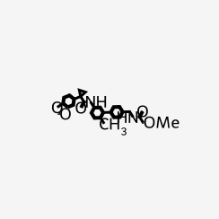 COCC(=O)NCc1ccc(-c2cc(NC(=O)C3(c4ccc5c(c4)OCO5)CC3)ccc2C)cc1